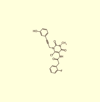 Cn1c(=O)c(NC(=O)Cc2ccccc2F)c(Cl)n(CC#Cc2cccc(O)c2)c1=O